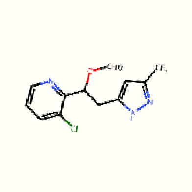 O=COC(Cc1cc(C(F)(F)F)n[nH]1)c1ncccc1Cl